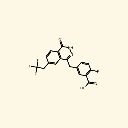 O=C(O)c1cc(Cc2n[nH]c(=O)c3ccc(CC(F)(F)F)cc23)ccc1F